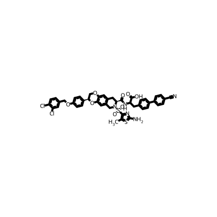 Cc1sc(N)nc1S(=O)(=O)N1Cc2cc3c(cc2C[C@H]1C(=O)NC(Cc1ccc(-c2ccc(C#N)cc2)cc1)C(=O)O)OC[C@H](c1ccc(OCc2ccc(Cl)c(Cl)c2)cc1)O3